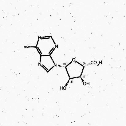 Cc1ncnc2c1ncn2[C@@H]1O[C@H](C(=O)O)[C@@H](O)[C@H]1O